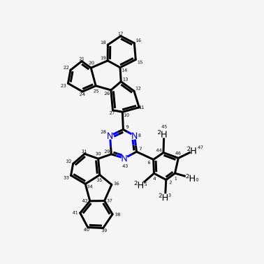 [2H]c1c([2H])c([2H])c(-c2nc(-c3ccc4c5ccccc5c5ccccc5c4c3)nc(-c3cccc4c3Cc3ccccc3-4)n2)c([2H])c1[2H]